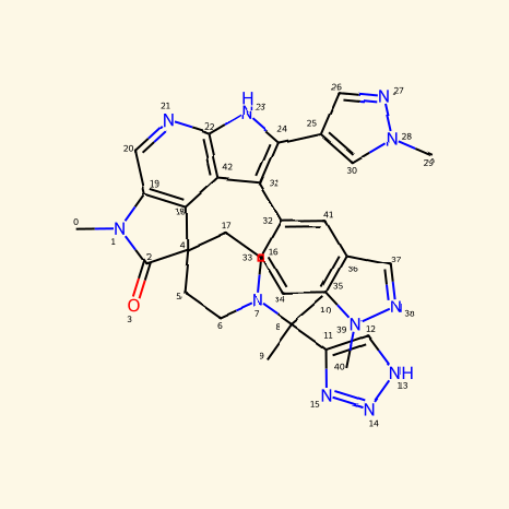 CN1C(=O)C2(CCN(C(C)(C)c3c[nH]nn3)CC2)c2c1cnc1[nH]c(-c3cnn(C)c3)c(-c3ccc4c(cnn4C)c3)c21